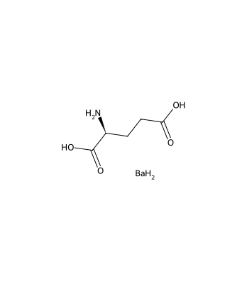 N[C@@H](CCC(=O)O)C(=O)O.[BaH2]